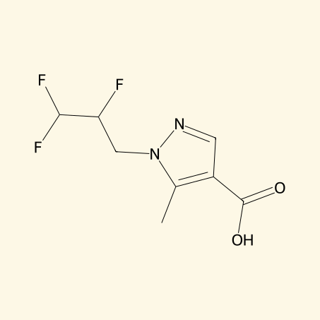 Cc1c(C(=O)O)cnn1CC(F)C(F)F